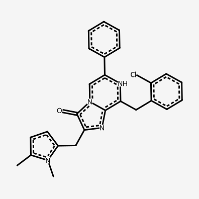 Cc1ccc(Cc2nc3c(Cc4ccccc4Cl)[nH]c(-c4ccccc4)cn-3c2=O)n1C